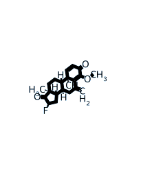 C=C1C[C@@H]2[C@H](CC[C@]3(C)C(=O)[C@H](F)C[C@@H]23)[C@@]2(C)C=CC(=O)C(OC)=C12